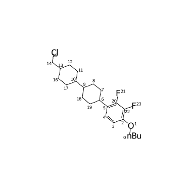 CCCCOc1ccc(C2CCC(C3CCC(CCl)CC3)CC2)c(F)c1F